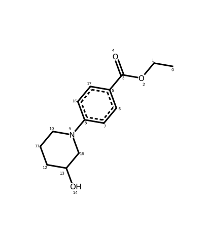 CCOC(=O)c1ccc(N2CCCC(O)C2)cc1